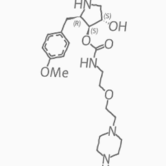 COc1ccc(C[C@H]2NC[C@H](O)[C@H]2OC(=O)NCCOCCN2CCNCC2)cc1